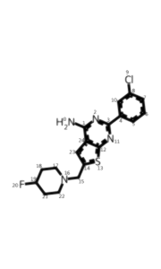 Nc1nc(-c2cccc(Cl)c2)nc2sc(CN3CCC(F)CC3)cc12